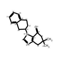 CC1(C)CC(=O)c2c(ncn2C2CCc3ccccc3C2)C1